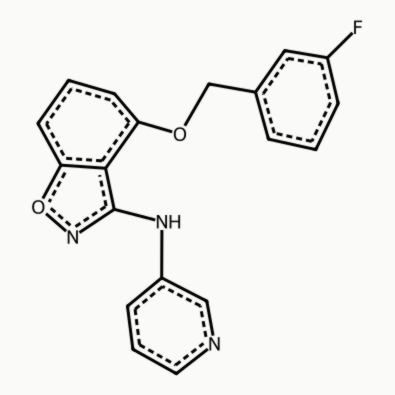 Fc1cccc(COc2cccc3onc(Nc4cccnc4)c23)c1